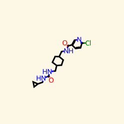 O=C(NCC1CC1)NCC1CCC(CNC(=O)c2ccc(Cl)nc2)CC1